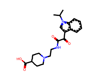 CC(C)n1cc(C(=O)C(=O)NCCN2CCC(C(=O)O)CC2)c2ccccc21